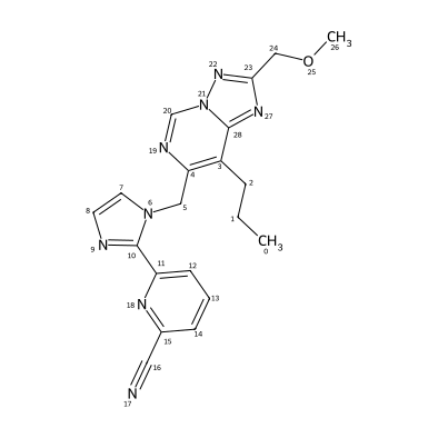 CCCc1c(Cn2ccnc2-c2cccc(C#N)n2)ncn2nc(COC)nc12